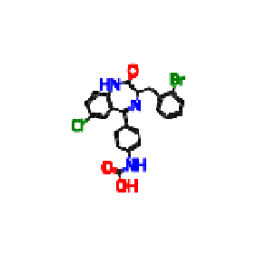 O=C(O)Nc1ccc(C2=NC(Cc3ccccc3Br)C(=O)Nc3ccc(Cl)cc32)cc1